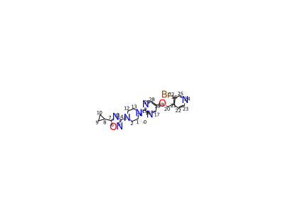 C[C@@H]1CN(c2noc(C3CC3)n2)CCN1c1ncc(OCc2ccncc2Br)cn1